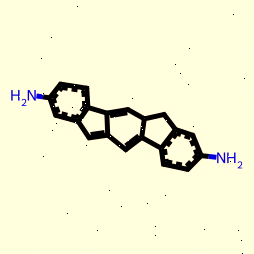 Nc1ccc2c(c1)C=C1C=C3c4ccc(N)cc4CC3C=C12